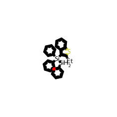 CCc1sc2ccccc2c1[Si]([SiH2]c1ccccc1)(c1ccccc1)c1ccccc1